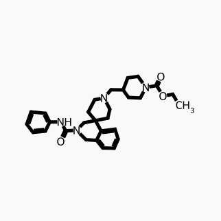 CCOC(=O)N1CCC(CN2CCC3(CC2)CN(C(=O)Nc2ccccc2)Cc2ccccc23)CC1